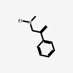 C=C(CN(C)CC)c1ccccc1